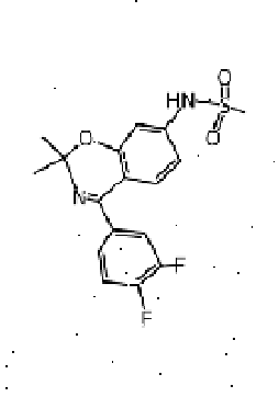 CC1(C)N=C(c2ccc(F)c(F)c2)c2ccc(NS(C)(=O)=O)cc2O1